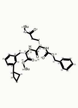 CC(C)(C)OC(=O)CC[C@H](NC(=O)OCc1ccccc1)C(=O)N[C@@H](Cc1cccc(C2CCC2)c1)C(=O)OC(C)(C)C